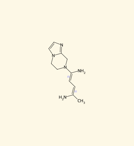 C/C(N)=C/C=C(\N)N1CCn2ccnc2C1